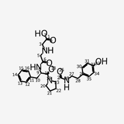 O=C(O)CNCC(=O)N[C@H](Cc1ccccc1)C(=O)N1CCC[C@H]1C(=O)NCCc1ccc(O)cc1